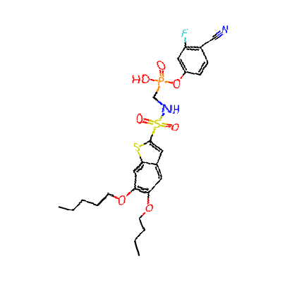 CCCCCOc1cc2sc(S(=O)(=O)NCP(=O)(O)Oc3ccc(C#N)c(F)c3)cc2cc1OCCCC